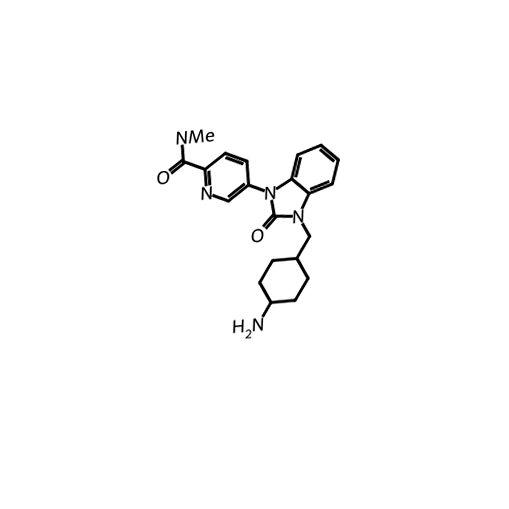 CNC(=O)c1ccc(-n2c(=O)n(CC3CCC(N)CC3)c3ccccc32)cn1